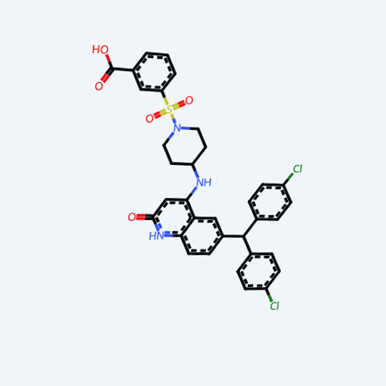 O=C(O)c1cccc(S(=O)(=O)N2CCC(Nc3cc(=O)[nH]c4ccc(C(c5ccc(Cl)cc5)c5ccc(Cl)cc5)cc34)CC2)c1